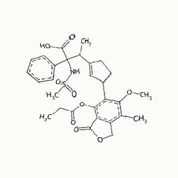 CCC(=O)Oc1c2c(c(C)c(OC)c1C1C=C(C(C)C(NS(C)(=O)=O)(C(=O)O)c3ccccc3)CC1)COC2=O